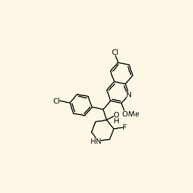 COc1nc2ccc(Cl)cc2cc1C(c1ccc(Cl)cc1)C1(O)CCNCC1F